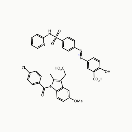 COc1ccc2c(c1)c(CC(=O)O)c(C)n2C(=O)c1ccc(Cl)cc1.O=C(O)c1cc(/N=N/c2ccc(S(=O)(=O)Nc3ccccn3)cc2)ccc1O